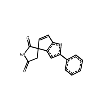 O=C1CC2(C=Cc3sc(-c4ccccc4)cc32)C(=O)N1